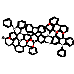 CC(C)(C)c1cc2c3c(c1)N(C1C(C4CCCCC4)CCCC1C1CCCCC1)c1cc4c(cc1B3c1ccccc1N2c1ccccc1)C1(c2ccccc2-c2ccccc21)c1cc2c(cc1N4c1ccccc1)Oc1cc(N(c3ccccc3)c3ccccc3-c3ccccc3)cc3c1B2c1ccccc1N3c1ccccc1-c1ccccc1